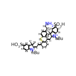 CCCCN1/C(=C/C=C2\CCCC(/C=C/C3=[N+](CCCC)c4ccc(S(=O)(=O)O)cc4C3(C)C)=C2Sc2ccc(CCN)cc2)C(C)(C)c2cc(S(=O)(=O)O)ccc21